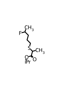 CC(F)CCCSC(C)C(=O)OC(C)C